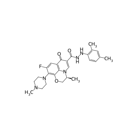 Cc1ccc(NNC(=O)c2cn3c4c(c(N5CCN(C)CC5)c(F)cc4c2=O)OC[C@@H]3C)c(C)c1